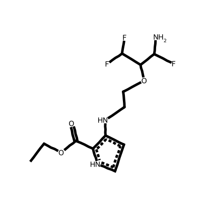 CCOC(=O)c1[nH]ccc1NCCOC(C(N)F)C(F)F